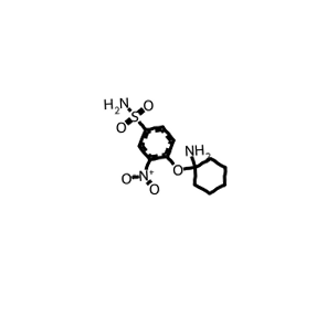 NC1(Oc2ccc(S(N)(=O)=O)cc2[N+](=O)[O-])CCCCC1